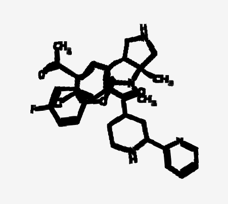 CC(=O)c1cc([C@H]2CNC[C@]2(C)N(C)C(=O)Oc2ccc(F)cc2)c(C(=O)C2CCNC(c3ccccn3)C2)cc1Cl